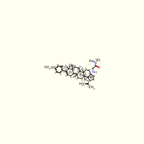 C=C(C)[C@@H]1CC[C@]2(NCC(=O)N(CC)CC)CC[C@]3(C)[C@H](CC[C@@H]4[C@@]5(C)CC=C(c6ccc(C(=O)O)cc6)C(C)(C)[C@@H]5CC[C@]43C)[C@@H]12